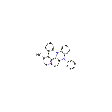 N#Cc1ccncc1-c1ccccc1N1c2ccccc2N(c2ccccc2)c2ccccc21